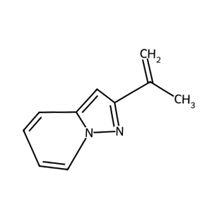 C=C(C)c1cc2ccccn2n1